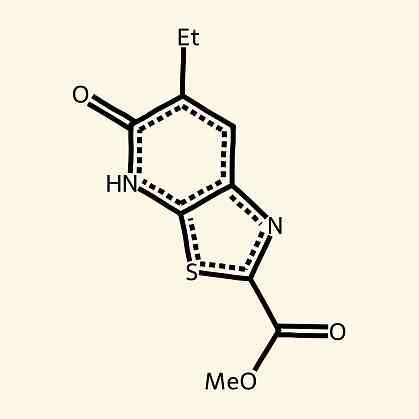 CCc1cc2nc(C(=O)OC)sc2[nH]c1=O